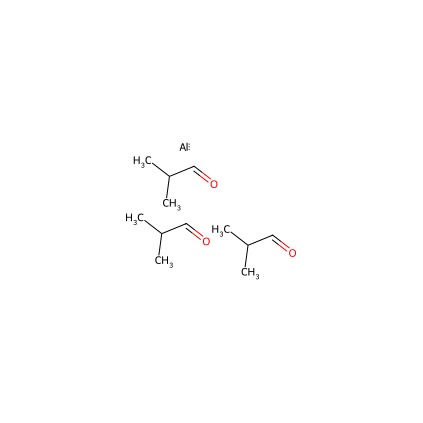 CC(C)C=O.CC(C)C=O.CC(C)C=O.[Al]